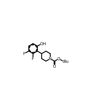 CC(C)(C)OC(=O)N1CCC(c2c(O)ccc(F)c2F)CC1